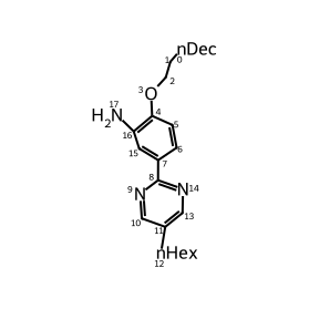 CCCCCCCCCCCCOc1ccc(-c2ncc(CCCCCC)cn2)cc1N